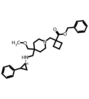 COCC1(CN[C@@H]2CC2c2ccccc2)CCN(CC2(C(=O)OCc3ccccc3)CCC2)CC1